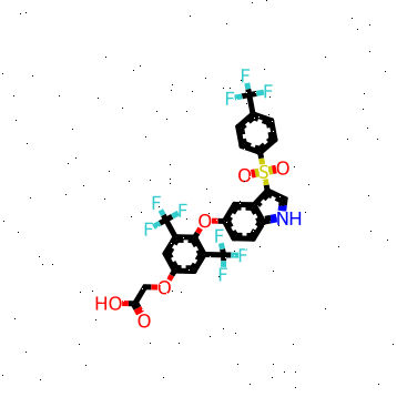 O=C(O)COc1cc(C(F)(F)F)c(Oc2ccc3[nH]cc(S(=O)(=O)c4ccc(C(F)(F)F)cc4)c3c2)c(C(F)(F)F)c1